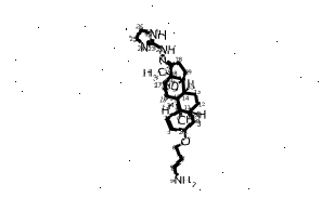 C[C@]12CC[C@H](OCCCN)C[C@H]1CC[C@@H]1[C@@H]2CC[C@]2(C)/C(=N/NC3=NCCN3)CC[C@]12O